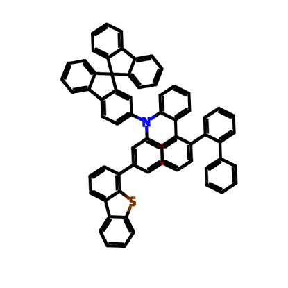 c1ccc(-c2ccccc2-c2ccccc2-c2ccccc2N(c2cccc(-c3cccc4c3sc3ccccc34)c2)c2ccc3c(c2)C2(c4ccccc4-c4ccccc42)c2ccccc2-3)cc1